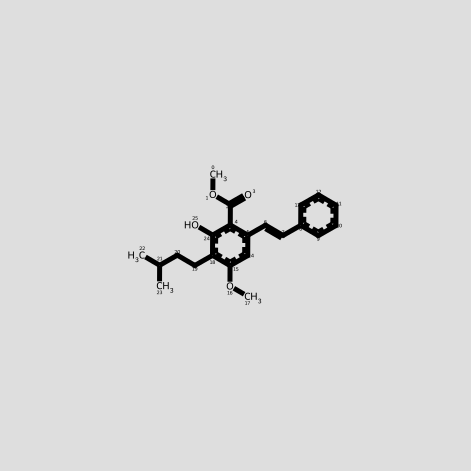 COC(=O)c1c(C=Cc2ccccc2)cc(OC)c(CCC(C)C)c1O